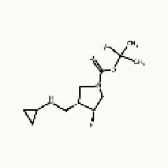 CC(C)(C)OC(=O)N1C[C@H](CNC2CC2)[C@H](F)C1